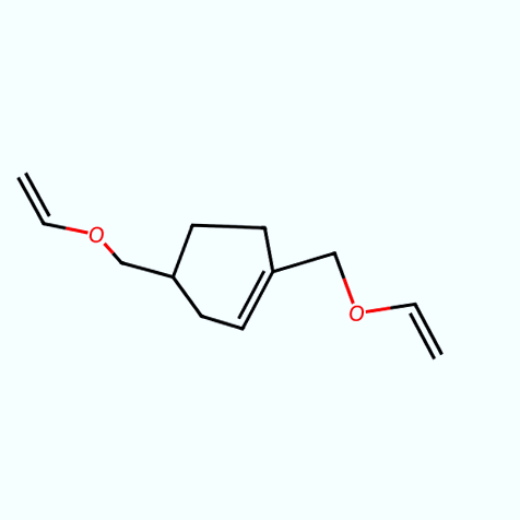 C=COCC1=CCC(COC=C)CC1